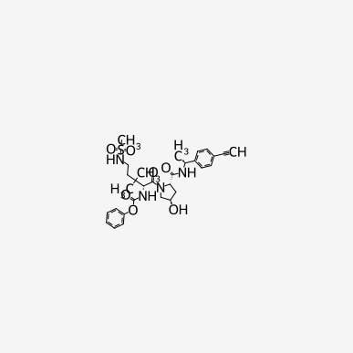 C#Cc1ccc([C@H](C)NC(=O)[C@@H]2C[C@@H](O)CN2C(=O)[C@H](NC(=O)Oc2ccccc2)C(C)(C)CCNS(C)(=O)=O)cc1